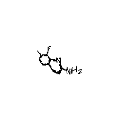 Cc1ccc2ccc(N)nc2c1F